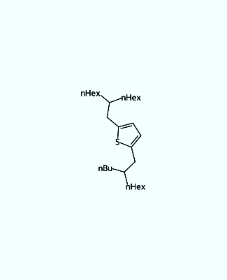 CCCCCCC(CCCC)Cc1ccc(CC(CCCCCC)CCCCCC)s1